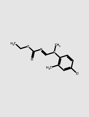 CCOC(=O)N=CN(C)c1ccc(Cl)cc1C